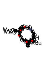 CCCC[C@H]1C(=O)N[C@@H](Cc2ccc3ccccc3c2)C(=O)N(C)[C@@H](COC(C)(C)C)C(=O)NCC(=O)N(C)CC/C=C/C(=O)OCC(C)(C)C(=O)C(=O)N2CCCC[C@H]2C(=O)O[C@H](CCc2ccc(OC)c(OC)c2)c2cccc(c2)OCC(=O)N1C